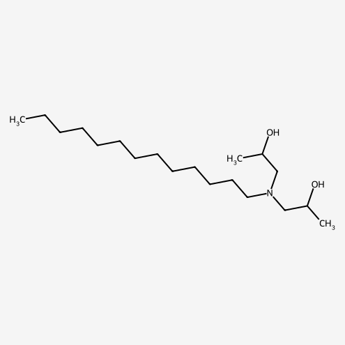 CCCCCCCCCCCCCN(CC(C)O)CC(C)O